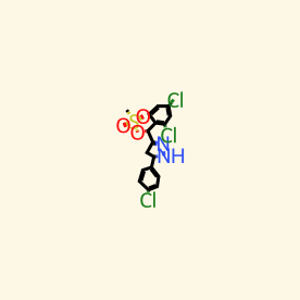 CS(=O)(=O)OC(C1=NNC(c2ccc(Cl)cc2)C1)c1ccc(Cl)cc1Cl